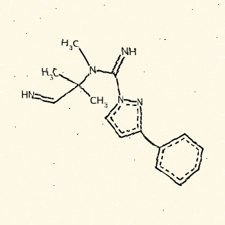 CN(C(=N)n1ccc(-c2ccccc2)n1)C(C)(C)C=N